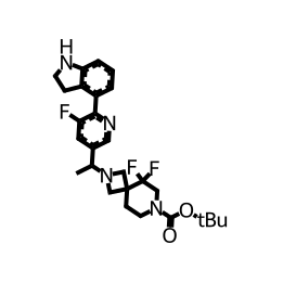 CC(c1cnc(-c2cccc3c2CCN3)c(F)c1)N1CC2(CCN(C(=O)OC(C)(C)C)CC2(F)F)C1